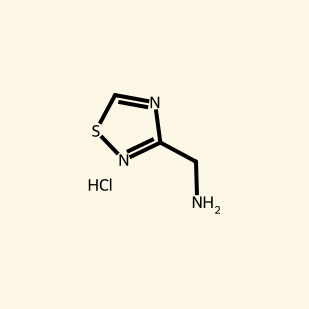 Cl.NCc1ncsn1